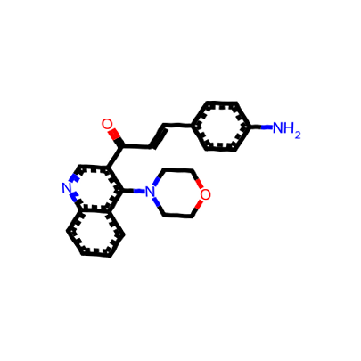 Nc1ccc(C=CC(=O)c2cnc3ccccc3c2N2CCOCC2)cc1